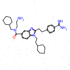 N=C(N)c1ccc(CCc2nc3cc(C(=O)N(CCN)CC4CCCCC4)ccc3n2CCC2CCCCC2)cc1